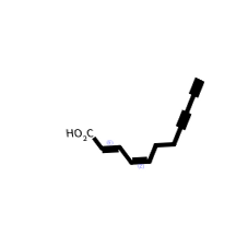 C#CC#CCC/C=C\C=C\C(=O)O